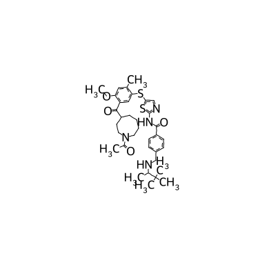 COc1cc(C)c(Sc2cnc(NC(=O)c3ccc(CNC(C)C(C)(C)C)cc3)s2)cc1C(=O)C1CCCCN(C(C)=O)CC1